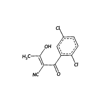 CC(O)=C(C#N)C(=O)c1cc(Cl)ccc1Cl